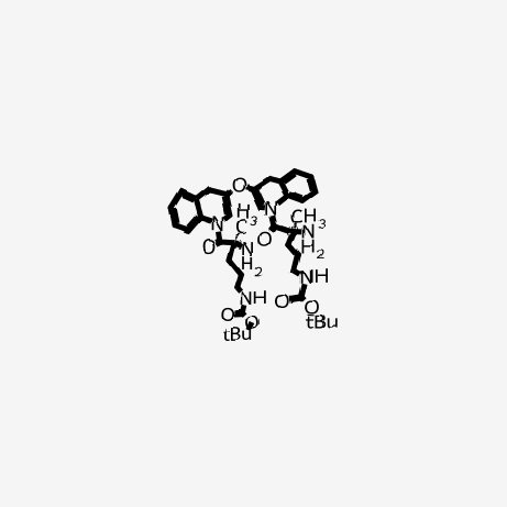 CC(C)(C)OC(=O)NCCC[C@](C)(N)C(=O)N1C=C(OC2=CN(C(=O)[C@@](C)(N)CCCNC(=O)OC(C)(C)C)c3ccccc3C2)Cc2ccccc21